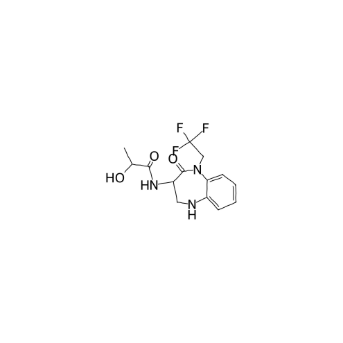 CC(O)C(=O)NC1CNc2ccccc2N(CC(F)(F)F)C1=O